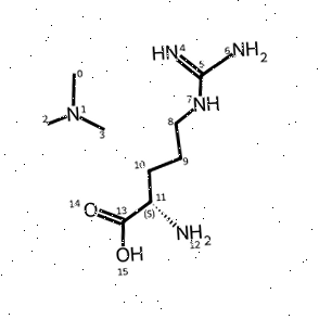 CN(C)C.N=C(N)NCCC[C@H](N)C(=O)O